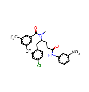 CN(C(=O)c1cc(C(F)(F)F)cc(C(F)(F)F)c1)C(CCC(=O)Nc1cccc([N+](=O)[O-])c1)Cc1ccc(Cl)cc1